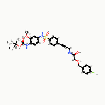 COc1cc(NS(=O)(=O)c2ccc(C#CCNC(=O)COCc3ccc(F)cc3)cc2)ccc1NC(=O)OC(C)(C)C